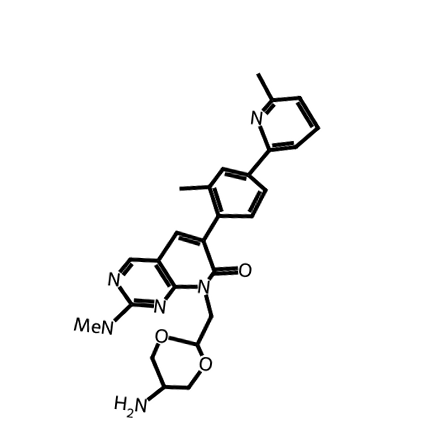 CNc1ncc2cc(-c3ccc(-c4cccc(C)n4)cc3C)c(=O)n(CC3OCC(N)CO3)c2n1